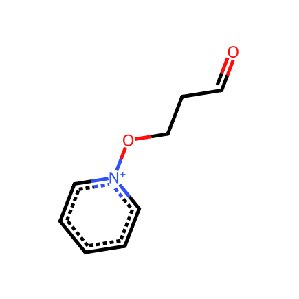 O=CCCO[n+]1ccccc1